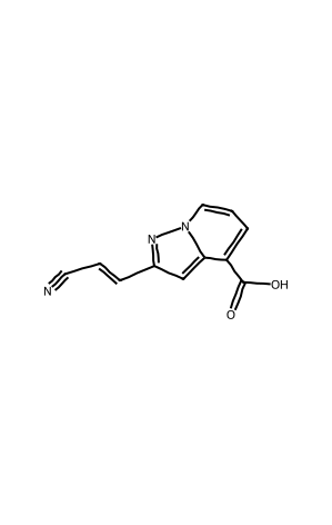 N#CC=Cc1cc2c(C(=O)O)cccn2n1